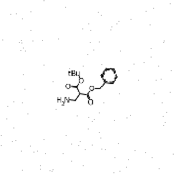 CC(C)(C)OC(=O)C(CN)C(=O)OCc1ccccc1